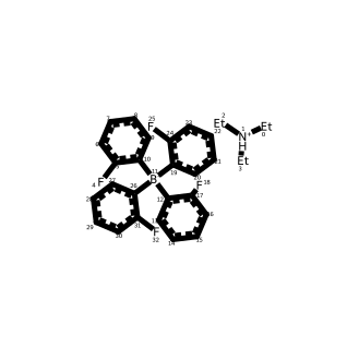 CC[NH+](CC)CC.Fc1ccccc1[B-](c1ccccc1F)(c1ccccc1F)c1ccccc1F